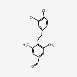 Cc1cc(C=O)cc(C)c1OCc1ccc(Cl)c(Cl)c1